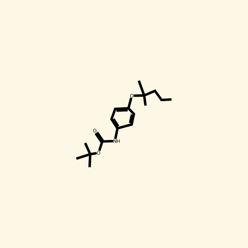 CCCC(C)(C)Oc1ccc(NC(=O)OC(C)(C)C)cc1